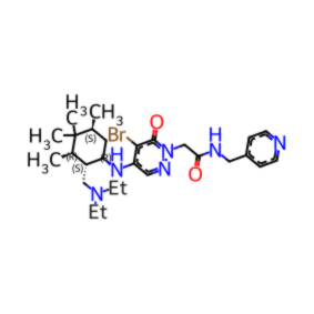 CCN(CC)C[C@@H]1[C@@H](C)C(C)(C)[C@@H](C)C[C@H]1Nc1cnn(CC(=O)NCc2ccncc2)c(=O)c1Br